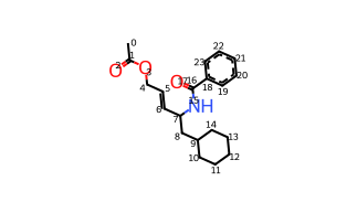 CC(=O)OCC=CC(CC1CCCCC1)NC(=O)c1ccccc1